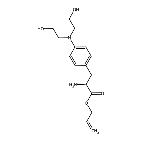 C=CCOC(=O)[C@@H](N)Cc1ccc(N(CCO)CCO)cc1